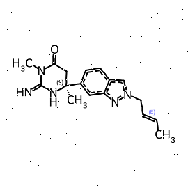 C/C=C/Cn1cc2ccc([C@]3(C)CC(=O)N(C)C(=N)N3)cc2n1